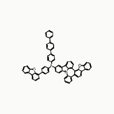 c1ccc(-c2ccc(-c3ccc(N(c4ccc(-c5cccc6c5oc5ccccc56)cc4)c4ccc5c(c4)c4cccc6c4n5-c4ccccc4-c4ccc5c(oc7ccccc75)c4-6)cc3)cc2)cc1